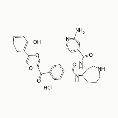 Cl.Nc1cc(C(=O)N[C@@H]2CNCCC[C@H]2NC(=O)c2ccc(C(=O)C3=COC(C4=C(O)C=CCC4)=CO3)cc2)ccn1